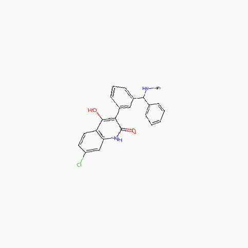 CC(C)NC(c1ccccc1)c1cccc(-c2c(O)c3ccc(Cl)cc3[nH]c2=O)c1